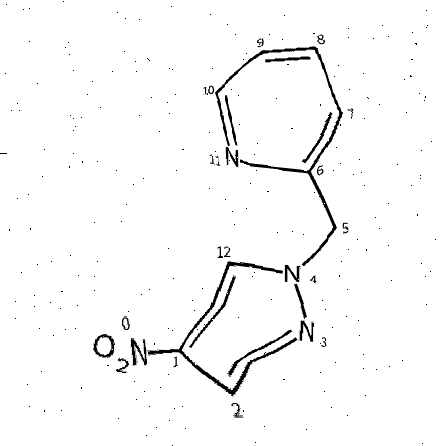 O=[N+]([O-])c1cnn(Cc2ccccn2)c1